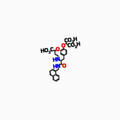 O=C(O)C(=O)CCNC(Cc1ccc(OC(C(=O)O)C(=O)O)cc1)C(=O)NCc1cccc2ccccc12